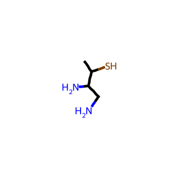 CC(S)C(N)CN